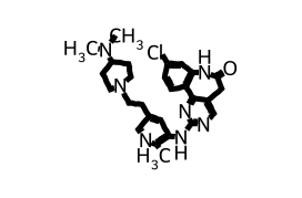 Cc1ncc(CCN2CCC(N(C)C)CC2)cc1Nc1ncc2c(n1)-c1ccc(Cl)cc1NC(=O)C2